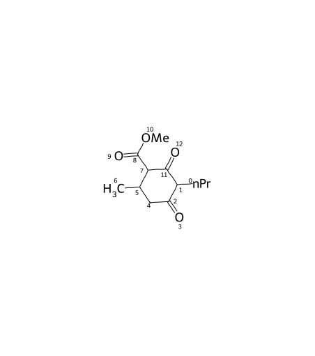 CCCC1C(=O)CC(C)C(C(=O)OC)C1=O